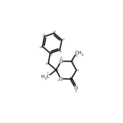 CC1CC(=O)OC(C)(Cc2ccccc2)O1